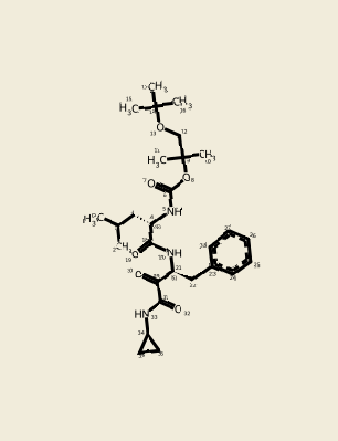 CC(C)C[C@H](NC(=O)OC(C)(C)COC(C)(C)C)C(=O)N[C@@H](Cc1ccccc1)C(=O)C(=O)NC1CC1